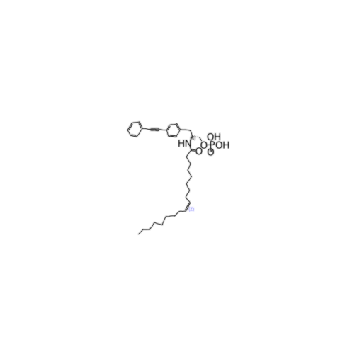 CCCCCCCC/C=C\CCCCCCCC(=O)N[C@@H](COP(=O)(O)O)Cc1ccc(C#Cc2ccccc2)cc1